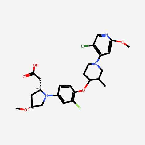 COc1cc(N2CCC(Oc3ccc(N4C[C@H](OC)C[C@@H]4CC(=O)O)cc3F)C(C)C2)c(Cl)cn1